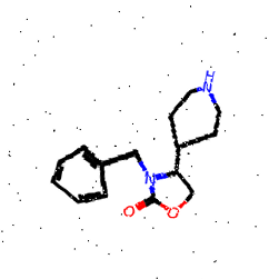 O=C1OCC(C2CCNCC2)N1Cc1ccccc1